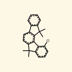 CC1(C)c2cccc(Cl)c2-c2c1ccc1c2C(C)(C)c2ccccc2-1